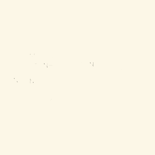 CCc1nc2ccc(Br)cn2c1C(=O)NCc1ccc(N2CCC(c3ccccc3)CC2)cc1